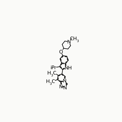 Cc1c(-c2[nH]c3ccc(OC4CCN(C)CC4)cc3c2C(C)C)cn2cnnc2c1C